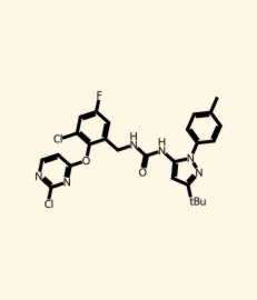 Cc1ccc(-n2nc(C(C)(C)C)cc2NC(=O)NCc2cc(F)cc(Cl)c2Oc2ccnc(Cl)n2)cc1